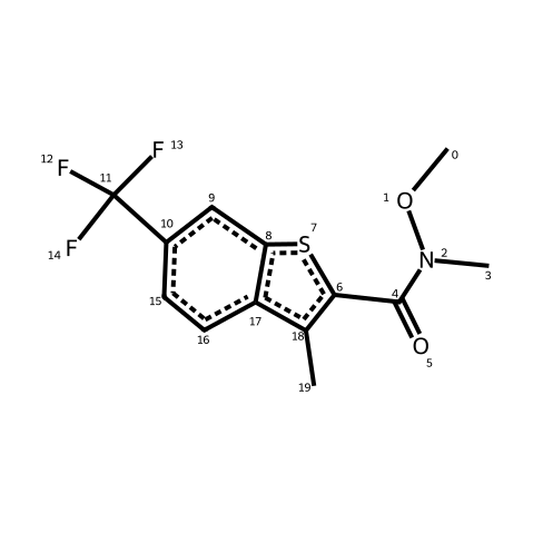 CON(C)C(=O)c1sc2cc(C(F)(F)F)ccc2c1C